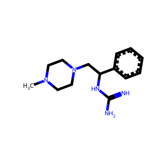 CN1CCN(CC(NC(=N)N)c2ccccc2)CC1